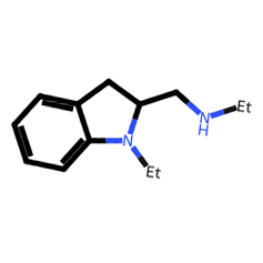 CCNCC1Cc2ccccc2N1CC